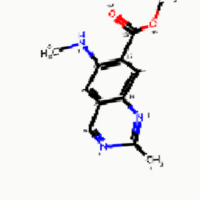 CNc1cc2cnc(C)nc2cc1C(=O)OC